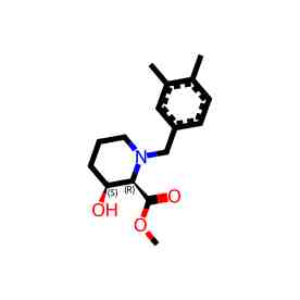 COC(=O)[C@H]1[C@@H](O)CCCN1Cc1ccc(C)c(C)c1